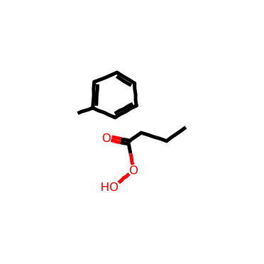 CCCC(=O)OO.Cc1ccccc1